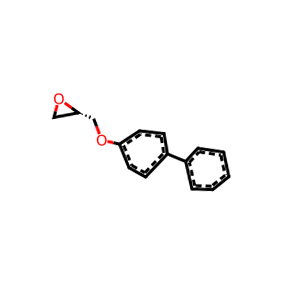 c1ccc(-c2ccc(OC[C@@H]3CO3)cc2)cc1